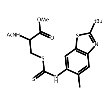 COC(=O)C(CSC(=S)Nc1cc2sc(C(C)(C)C)nc2cc1C)NC(C)=O